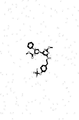 COC(=O)[C@H]1CN(c2cc(NCCc3ccc(OC(F)(F)F)cc3)nc(OC)n2)C[C@@H]1c1ccccc1